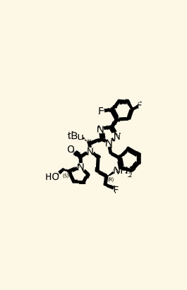 CC(C)(C)[C@H](c1nc(-c2cc(F)ccc2F)nn1Cc1ccccc1)N(CC[C@@H](N)CF)C(=O)N1CCC[C@H]1CO